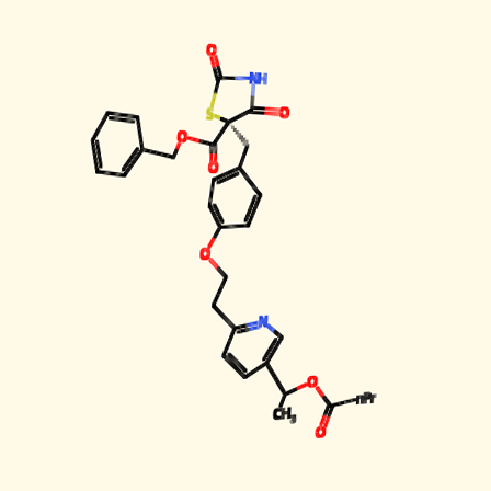 CCCC(=O)OC(C)c1ccc(CCOc2ccc(C[C@]3(C(=O)OCc4ccccc4)SC(=O)NC3=O)cc2)nc1